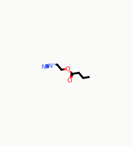 CCCC(=O)OCC[N+]#N